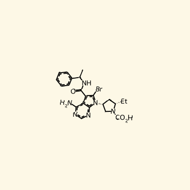 CC[C@H]1C[C@@H](n2c(Br)c(C(=O)NC(C)c3ccccc3)c3c(N)ncnc32)CN1C(=O)O